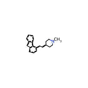 CN1CCC(=CC=c2cccc3c2=c2ccccc2=C3)CC1